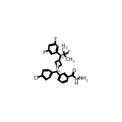 CC(C)(F)[C@H](c1cc(F)cc(F)c1)C1CN([C@@H](c2ccc(Cl)cc2)c2cccc(C(=O)NN)c2)C1